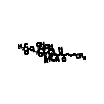 CCCCC(=O)Nc1ncnn2c([C@]3(C#N)O[C@H](COC(C)=O)[C@@H](O)[C@H]3O)ccc12